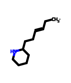 [CH2]CC=CCCC1CCCCN1